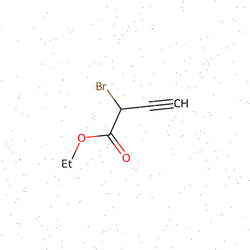 C#CC(Br)C(=O)OCC